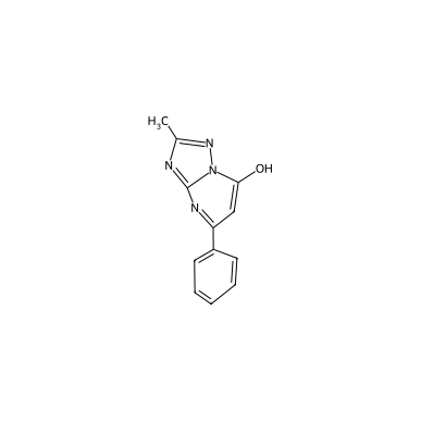 Cc1nc2nc(-c3ccccc3)cc(O)n2n1